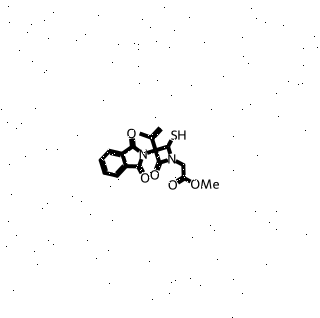 C=C(C)C1(N2C(=O)c3ccccc3C2=O)C(=O)N(CC(=O)OC)C1S